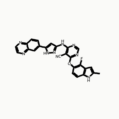 Cc1cc2c(F)c(Oc3ncnc(Nc4cc(-c5ccc6nccnc6c5)[nH]n4)c3C#N)ccc2[nH]1